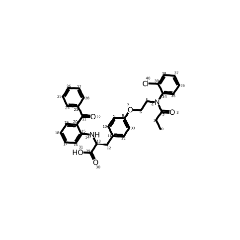 CCC(=O)N(CCOc1ccc(C[C@H](Nc2ccccc2C(=O)c2ccccc2)C(=O)O)cc1)c1ccccc1Cl